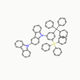 c1ccc(C(c2ccccc2)(c2ccccc2)c2cc(-n3c4ccccc4c4cc(-n5c6ccccc6c6ccccc65)ccc43)cc(S(c3ccccc3)(c3ccccc3)c3ccccc3)c2)cc1